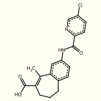 CC1=C(C(=O)O)CCCc2ccc(NC(=O)c3ccc(Cl)cn3)cc21